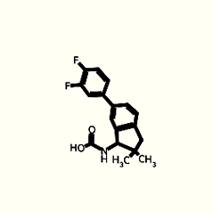 CC1(C)Cc2ccc(-c3ccc(F)c(F)c3)cc2C1NC(=O)O